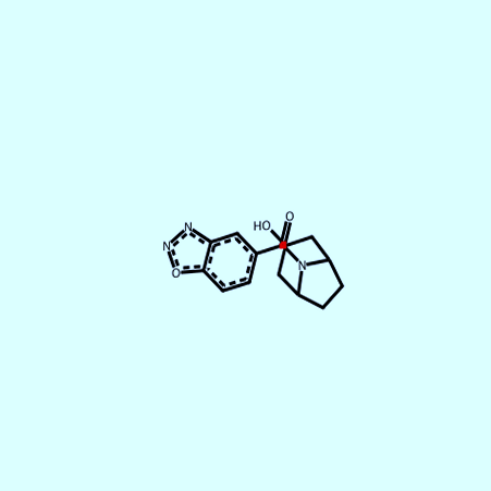 O=C(c1ccc2onnc2c1)N1C2CCC1CC(O)C2